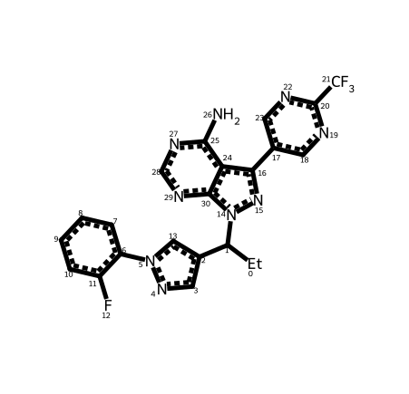 CCC(c1cnn(-c2ccccc2F)c1)n1nc(-c2cnc(C(F)(F)F)nc2)c2c(N)ncnc21